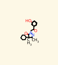 CC1=NN(CC(=O)c2cccc(O)c2)C(=O)C1(C)C1CCCCC1